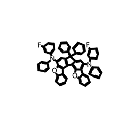 Fc1cccc(N(c2ccccc2)c2cc3c(c4c2oc2ccccc24)-c2c(cc(N(c4ccccc4)c4cccc(F)c4)c4c2oc2ccccc24)C3(c2ccccc2)c2ccccc2)c1